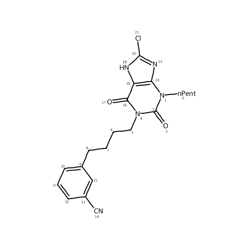 CCCCCn1c(=O)n(CCCCc2cccc(C#N)c2)c(=O)c2[nH]c(Cl)nc21